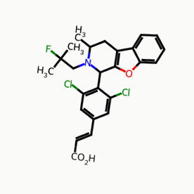 CC1Cc2c(oc3ccccc23)C(c2c(Cl)cc(/C=C/C(=O)O)cc2Cl)N1CC(C)(C)F